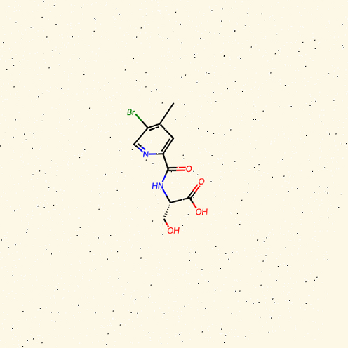 Cc1cc(C(=O)N[C@@H](CO)C(=O)O)ncc1Br